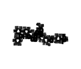 CC1C=C2CC(C(=O)N[C@@H](Cc3ccc(-c4ccccc4Oc4ccccc4)cc3)C(=O)O)N(C(=O)OC(C)(C)C)CC2=CC1OCc1ccc(C(F)(F)F)cc1